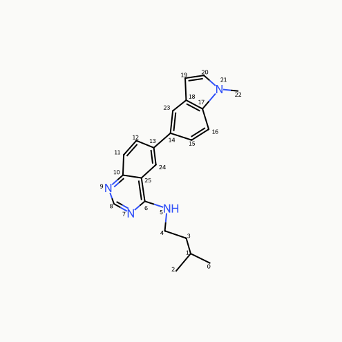 CC(C)CCNc1ncnc2ccc(-c3ccc4c(ccn4C)c3)cc12